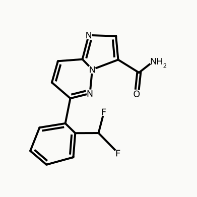 NC(=O)c1cnc2ccc(-c3ccccc3C(F)F)nn12